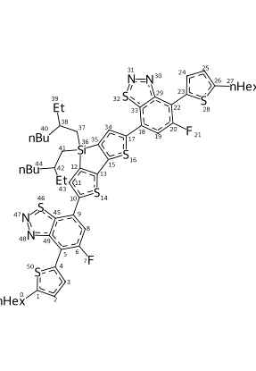 CCCCCCc1ccc(-c2c(F)cc(-c3cc4c(s3)-c3sc(-c5cc(F)c(-c6ccc(CCCCCC)s6)c6nnsc56)cc3[Si]4(CC(CC)CCCC)CC(CC)CCCC)c3snnc23)s1